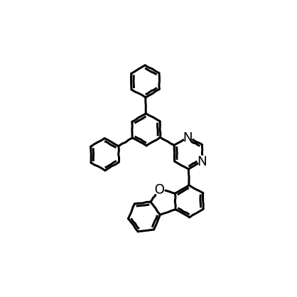 c1ccc(-c2cc(-c3ccccc3)cc(-c3cc(-c4cccc5c4oc4ccccc45)ncn3)c2)cc1